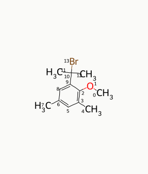 COc1c(C)cc(C)cc1C(C)(C)Br